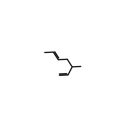 [CH2]C(C=C)CC=CC